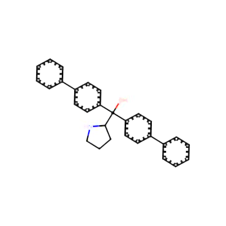 OC(c1ccc(-c2ccccc2)cc1)(c1ccc(-c2ccccc2)cc1)C1CCCN1